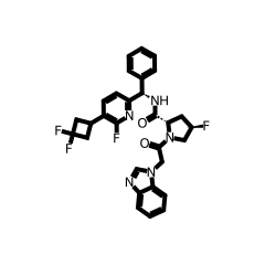 O=C(N[C@@H](c1ccccc1)c1ccc(C2CC(F)(F)C2)c(F)n1)[C@@H]1C[C@@H](F)CN1C(=O)Cn1cnc2ccccc21